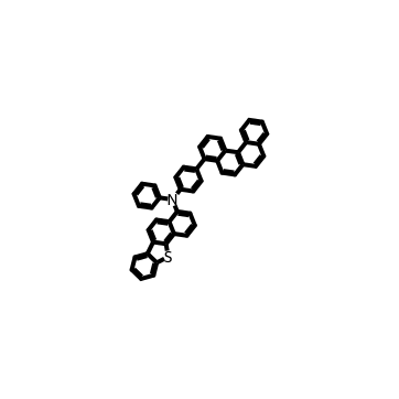 c1ccc(N(c2ccc(-c3cccc4c3ccc3ccc5ccccc5c34)cc2)c2cccc3c2ccc2c4ccccc4sc32)cc1